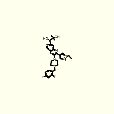 CCn1cc(-c2nc3cc([C@@H](O)C(C)(C)O)ncc3nc2N2CCN(Cc3ccc(F)cc3F)CC2)cn1